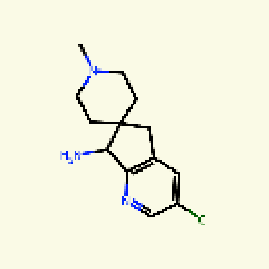 CN1CCC2(CC1)Cc1cc(Cl)cnc1C2N